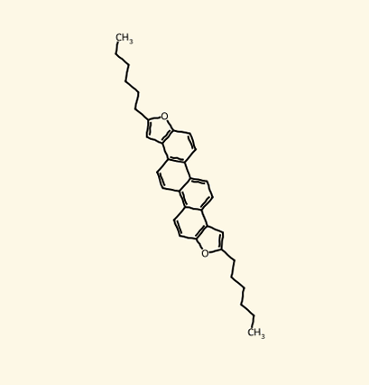 CCCCCCc1cc2c(ccc3c2ccc2c4ccc5oc(CCCCCC)cc5c4ccc32)o1